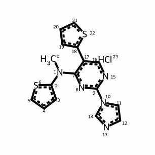 CN(c1cccs1)c1nc(-n2ccnc2)ncc1-c1cccs1.Cl